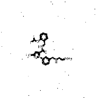 CNCCNCc1cccc(-n2nc(C(F)(F)F)cc2C(=O)NCc2ccccc2OC(F)F)c1